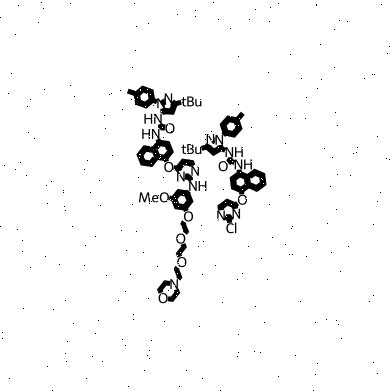 COc1cc(Nc2nccc(Oc3ccc(NC(=O)Nc4cc(C(C)(C)C)nn4-c4ccc(C)cc4)c4ccccc34)n2)cc(OCCOCCOCCN2CCOCC2)c1.Cc1ccc(-n2nc(C(C)(C)C)cc2NC(=O)Nc2ccc(Oc3ccnc(Cl)n3)c3ccccc23)cc1